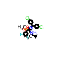 CC(NCC1(C(c2cc(F)cc(F)c2)S(C)(=O)=O)CN(C(c2ccc(Cl)cc2)c2ccc(Cl)cc2)C1)C1CC1